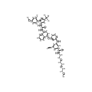 C#Cc1cc(Nc2nccc(Oc3ccc(NC(=O)Nc4cc(C(C)(C)C)nn4-c4ccc(OC)cc4C)c4ccccc34)n2)cc(C(=O)NCCOCCOCCOC)c1